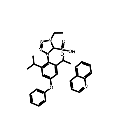 CCN1N=NN(c2c(C(C)C)cc(Oc3ccccc3)cc2C(C)C)C1S(=O)(=O)O.c1ccc2ncccc2c1